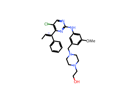 C/C=C(\c1ccccc1)c1nc(Nc2cc(CN3CCN(CCO)CC3)cc(OC)c2)ncc1Cl